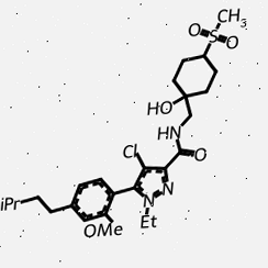 CCn1nc(C(=O)NCC2(O)CCC(S(C)(=O)=O)CC2)c(Cl)c1-c1ccc(CCC(C)C)cc1OC